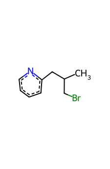 CC(CBr)Cc1ccccn1